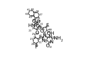 COc1nc(N)nc2c1ncn2[C@@H]1O[C@H](COP(=O)(N[C@@H](C)C(=O)OCc2ccc(F)cc2F)Oc2cccc3ccccc23)[C@@H](F)[C@@]1(C)O